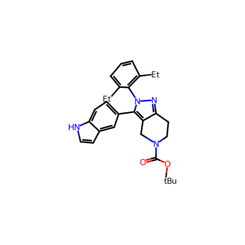 CCc1cccc(CC)c1-n1nc2c(c1-c1ccc3[nH]ccc3c1)CN(C(=O)OC(C)(C)C)CC2